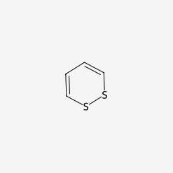 C1=CSSC=C1